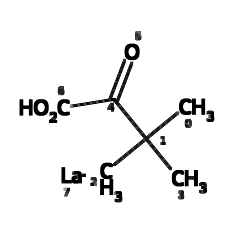 CC(C)(C)C(=O)C(=O)O.[La]